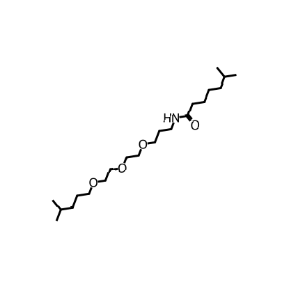 CC(C)CCCCC(=O)NCCCOCCOCCOCCCC(C)C